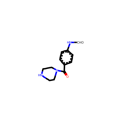 O=CNc1ccc(C(=O)N2CCNCC2)cc1